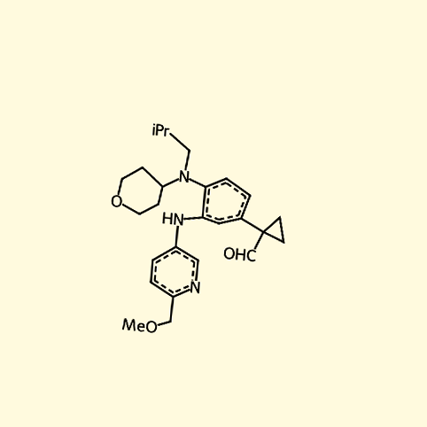 COCc1ccc(Nc2cc(C3(C=O)CC3)ccc2N(CC(C)C)C2CCOCC2)cn1